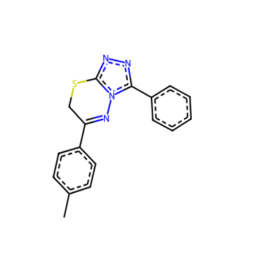 Cc1ccc(C2=Nn3c(nnc3-c3ccccc3)SC2)cc1